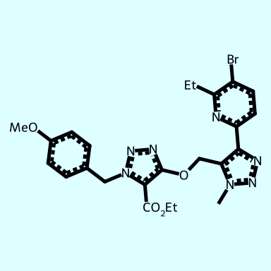 CCOC(=O)c1c(OCc2c(-c3ccc(Br)c(CC)n3)nnn2C)nnn1Cc1ccc(OC)cc1